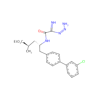 CCOC(=O)[C@H](C)C[C@@H](Cc1ccc(-c2cccc(Cl)c2)cc1)NC(=O)C(=N)/N=N\N